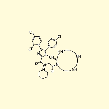 Cc1c(C(=O)N(CC(=O)N2CCCNCCNCCCNCC2)N2CCCCC2)nn(-c2ccc(Cl)cc2Cl)c1-c1ccc(Cl)cc1